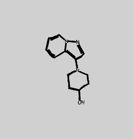 OC1CCN(c2cnn3ccccc23)CC1